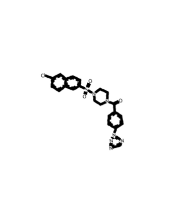 O=C(c1ccc(-n2ncnn2)cc1)N1CCN(S(=O)(=O)c2ccc3cc(Cl)ccc3c2)CC1